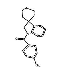 Cc1ccc(C(=O)NCC2(c3ccccc3)CCOCC2)cc1